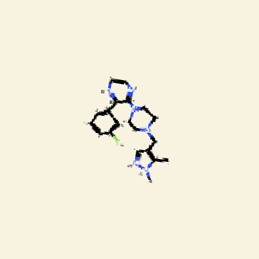 Cc1c(CN2CCN(c3nccnc3-c3cccc(F)c3)CC2)cnn1C